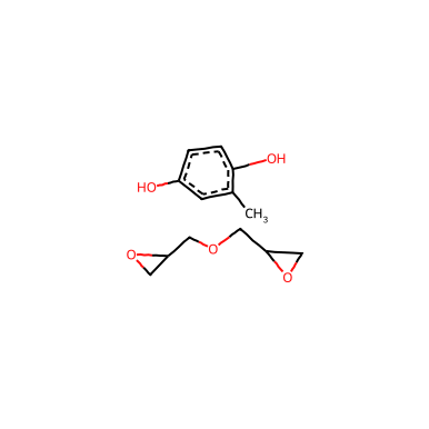 C(OCC1CO1)C1CO1.Cc1cc(O)ccc1O